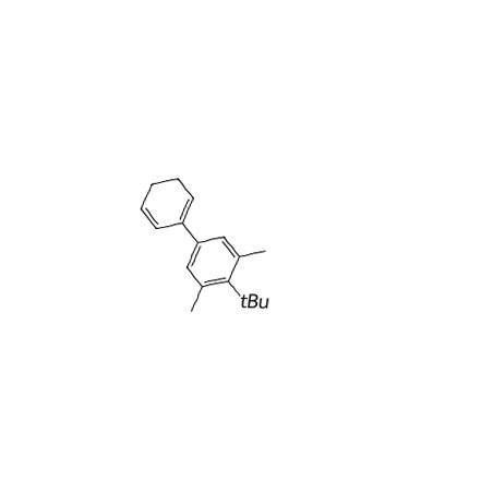 Cc1cc(C2=CCCC=C2)cc(C)c1C(C)(C)C